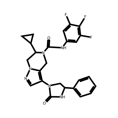 O=C1NC(c2ccccc2)CN1c1cnn2c1CN(C(=O)Nc1cc(F)c(F)c(F)c1)C(C1CC1)C2